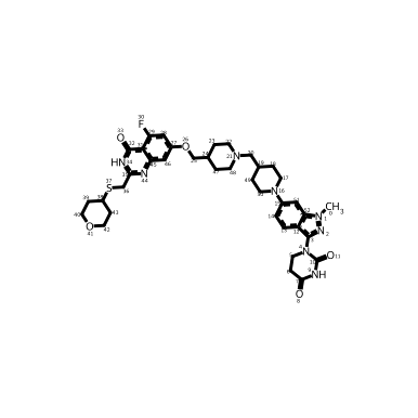 Cn1nc(N2CCC(=O)NC2=O)c2ccc(N3CCC(CN4CCC(COc5cc(F)c6c(=O)[nH]c(CSC7CCOCC7)nc6c5)CC4)CC3)cc21